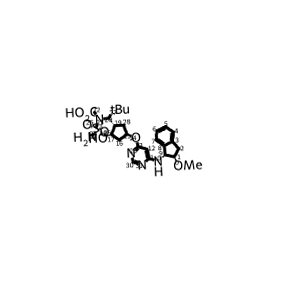 CO[C@H]1Cc2ccccc2[C@H]1Nc1cc(O[C@H]2C[C@H](O)[C@H](C(N(C(=O)O)S(N)(=O)=O)C(C)(C)C)C2)ncn1